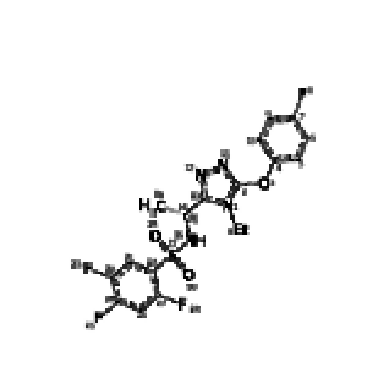 CCn1c(Oc2ccc(F)cc2)nnc1[C@@H](C)NS(=O)(=O)c1cc(F)c(F)cc1F